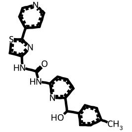 Cc1ccc(C(O)c2cccc(NC(=O)Nc3csc(-c4ccncc4)n3)n2)cc1